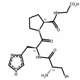 CC(C)C[C@H](N)C(=O)N[C@@H](Cc1c[nH]cn1)C(=O)N1CCC[C@H]1C(=O)NCC(=O)O